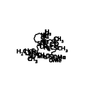 C=C[Si](C)(C)O[Si](C)(C)CC[Si]1(C)CCCCN[Si](C)(CC[Si](C)(C)O[Si](C)(C)CC[Si](OC)(OC)OC)N1